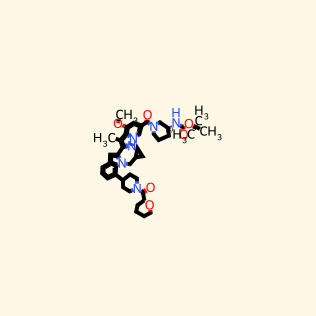 COc1cc(C(=O)N2CCC[C@@H](NC(=O)OC(C)(C)C)C2)cn2nc(-c3cc4cccc(C5CCN(C(=O)C6CCCCO6)CC5)c4n3CC3CC3)c(C)c12